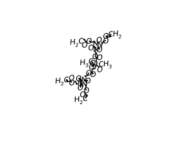 C=CC(=O)OCCn1c(=O)n(CCOC(=O)C=C)c(=O)n(CCOC(=O)CCC(CCC(=O)OCCn2c(=O)n(CCOC(=O)C=C)c(=O)n(CCOC(=O)C=C)c2=O)(C(C)=O)C(=O)OC)c1=O